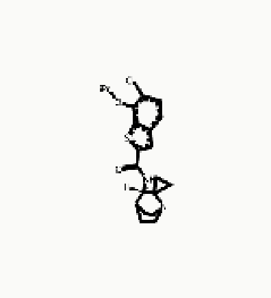 CC(C)Oc1c(Cl)ccc2cc(C(=O)N[C@H]3C4CCN(CC4)C34CC4)sc12